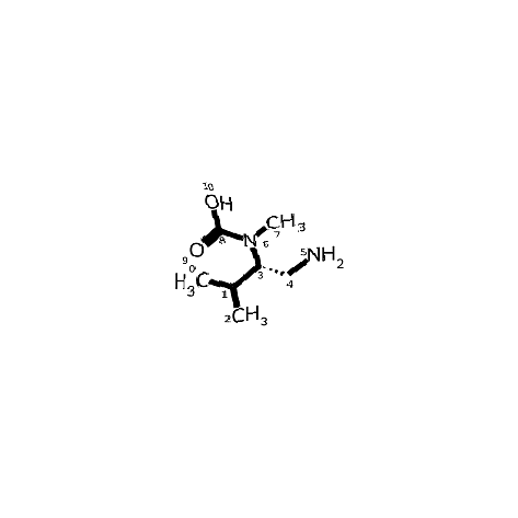 CC(C)[C@@H](CN)N(C)C(=O)O